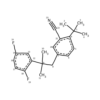 CC(C)(C)c1ccc(CC(C)(C)c2cc(F)ccc2F)cc1C#N